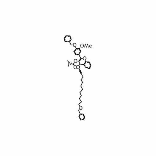 COc1cc(C2=C(OC(=O)N(C)C)C(OC#CCCCCCCCCCCOCc3ccccc3)c3ccccc3O2)ccc1OCc1ccccc1